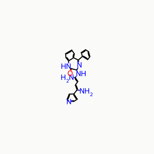 N/C(=C\C=C(/N)NC1N=C(c2ccccc2)c2ccccc2NC1=O)c1ccncc1